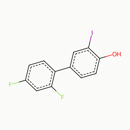 Oc1ccc(-c2ccc(F)cc2F)cc1I